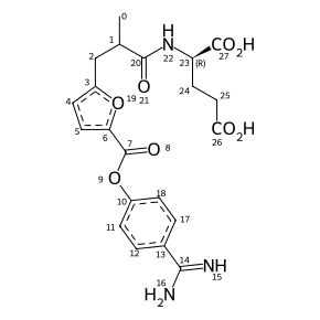 CC(Cc1ccc(C(=O)Oc2ccc(C(=N)N)cc2)o1)C(=O)N[C@H](CCC(=O)O)C(=O)O